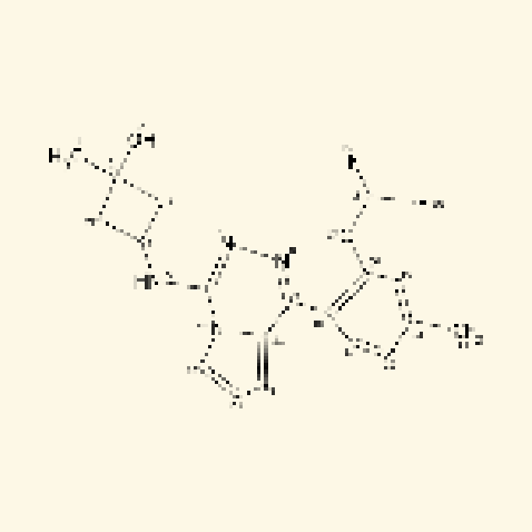 CC1(O)CC(Nc2nnc(-c3ccc(C(F)(F)F)cc3OC(F)F)c3cccn23)C1